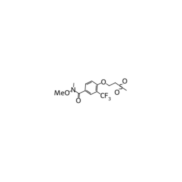 CON(C)C(=O)c1ccc(OCCS(C)(=O)=O)c(C(F)(F)F)c1